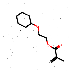 C=C(C)C(=O)OCCOC1CCCCC1